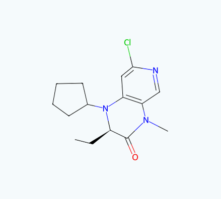 CC[C@@H]1C(=O)N(C)c2cnc(Cl)cc2N1C1CCCC1